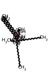 CCCCCCCCCCCCCCCC(=O)C(OCCCC)[C@](O)(C(=O)CCCCCCCCCCCCCCC)[C@](O)(C(=O)CCCCCCCCCCCCCCC)[C@@](O)(C(=O)CCCCCCCCCCCCCCC)[C@](O)(COP(=O)(O)O)C(=O)CCCCCCCCCCCCCCC